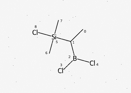 CC(B(Cl)Cl)[Si](C)(C)Cl